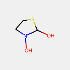 O[C]1SCCN1O